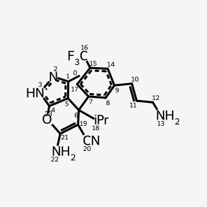 Cc1n[nH]c2c1C(c1cc(C=CCN)cc(C(F)(F)F)c1)(C(C)C)C(C#N)=C(N)O2